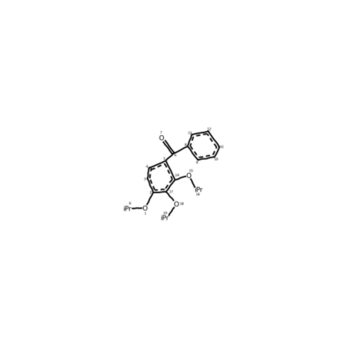 CC(C)Oc1ccc(C(=O)c2ccccc2)c(OC(C)C)c1OC(C)C